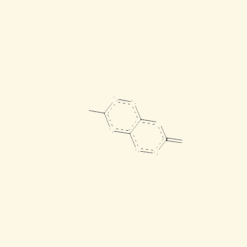 Cc1nnc2oc(=O)nnc2n1